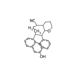 CC(C#N)C1CCCOC1C(c1ccccc1)C(C)c1cccc2cc(O)ccc12